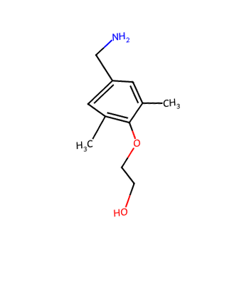 Cc1cc(CN)cc(C)c1OCCO